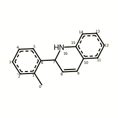 Cc1[c]cccc1C1C=Cc2ccccc2N1